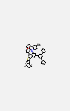 CC(C)(C)c1ccc(N2c3ccccc3B3c4sc5cc6c(cc5c4-c4cc(-c5cc(-c7ccccc7)cc(-c7ccccc7)c5)cc2c43)C(C)(C)CCC6(C)C)c(-c2ccccc2)c1